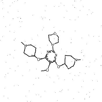 COc1c(OC2CCN(C)CC2)nc(N2CCOCC2)nc1OC1CCN(C)CC1